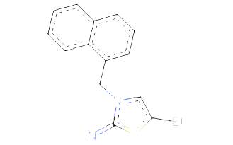 CCc1cn(Cc2cccc3ccccc23)c(=N)s1